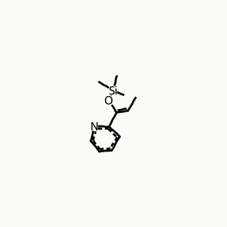 CC=C(O[Si](C)(C)C)c1ccccn1